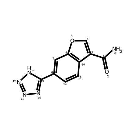 NC(=O)c1coc2cc(-c3nnn[nH]3)ccc12